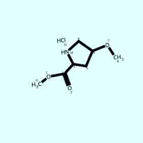 COC(=O)C1CC(OC)CN1.Cl